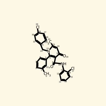 Cc1cccc(-c2c(C(=O)Nc3ccccc3Cl)c(=O)cc(C)n2Cc2ccc(Cl)cc2)c1